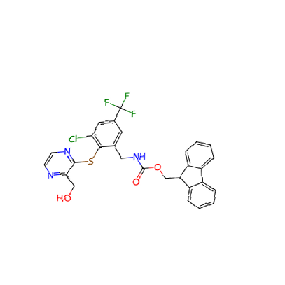 O=C(NCc1cc(C(F)(F)F)cc(Cl)c1Sc1nccnc1CO)OCC1c2ccccc2-c2ccccc21